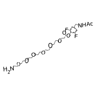 CC(=O)NCc1cc(F)c(OC(=O)CCOCCOCCOCCOCCOCCOCCN)c(F)c1